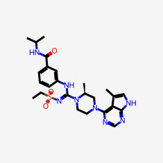 CCS(=O)(=O)/N=C(\Nc1cccc(C(=O)NC(C)C)c1)N1CCN(c2ncnc3[nH]cc(C)c23)C[C@@H]1C